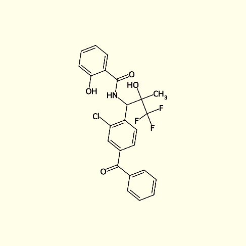 CC(O)(C(NC(=O)c1ccccc1O)c1ccc(C(=O)c2ccccc2)cc1Cl)C(F)(F)F